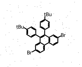 CC(C)(C)c1ccc(-c2c(-c3ccc(C(C)(C)C)cc3)c3cc(Br)ccc3c3ccc(Br)cc23)cc1